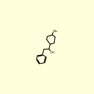 CC(C)(C)C1CCC(C(O)Cc2ccccc2)CC1